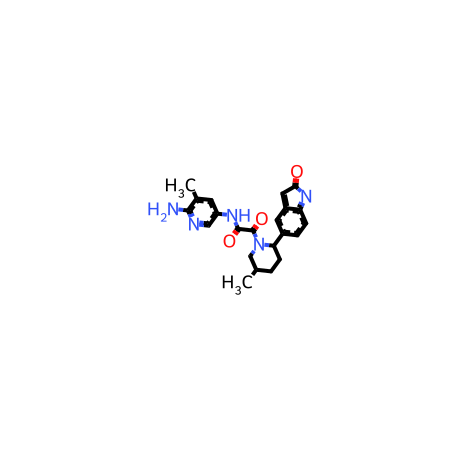 Cc1cc(NC(=O)C(=O)N2CC(C)CCC2c2ccc3c(c2)=CC(=O)N=3)cnc1N